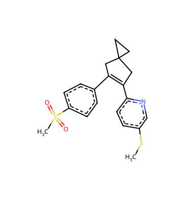 CSc1ccc(C2=C(c3ccc(S(C)(=O)=O)cc3)CC3(CC3)C2)nc1